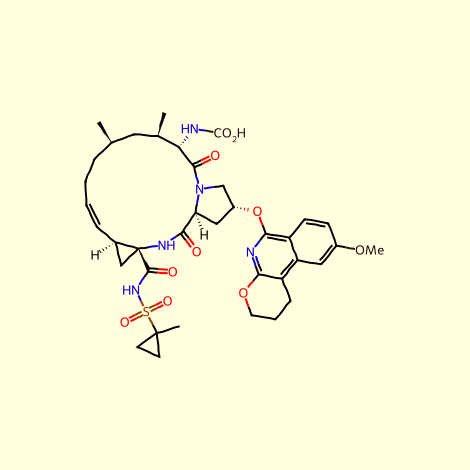 COc1ccc2c(O[C@@H]3C[C@H]4C(=O)N[C@]5(C(=O)NS(=O)(=O)C6(C)CC6)C[C@H]5C=CCC[C@@H](C)C[C@@H](C)[C@H](NC(=O)O)C(=O)N4C3)nc3c(c2c1)CCCO3